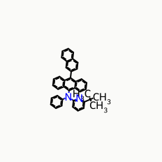 CC(C)(C)c1cccc(N(c2ccccc2)c2c3ccccc3c(-c3ccc4ccccc4c3)c3ccccc23)n1